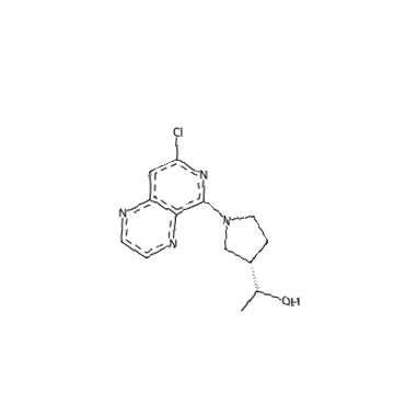 CC(O)[C@H]1CCN(c2nc(Cl)cc3nccnc23)C1